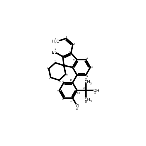 C/C=C\C1=C(CC)C2(CCCCC2)c2c1cccc2-c1cccc(Cl)c1C(C)(C)O